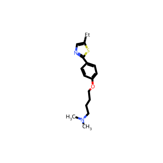 CCc1cnc(-c2ccc(OCCCCN(C)C)cc2)s1